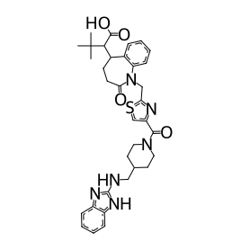 CC(C)(C)C(C(=O)O)C1CCC(=O)N(Cc2nc(C(=O)N3CCC(CNc4nc5ccccc5[nH]4)CC3)cs2)c2ccccc21